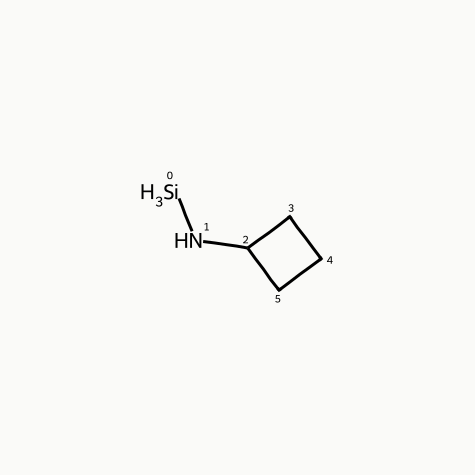 [SiH3]NC1CCC1